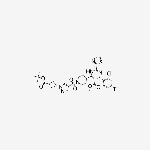 COC(=O)C1=C(C2CCN(S(=O)(=O)c3cnn(C4CC(C(=O)OC(C)(C)C)C4)c3)CC2)NC(c2nccs2)=NC1c1ccc(F)cc1Cl